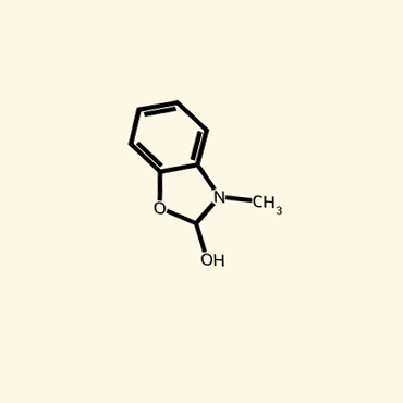 CN1c2ccccc2OC1O